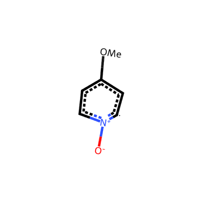 COc1c[c][n+]([O-])cc1